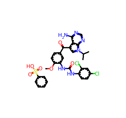 COc1ccc(C(=O)c2cn(C(C)C)c3ncnc(N)c23)cc1NC(=O)Nc1ccc(Cl)cc1Cl.O=S(=O)(O)c1ccccc1